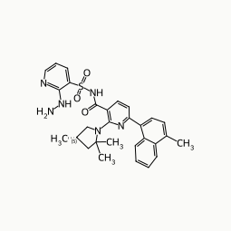 Cc1ccc(-c2ccc(C(=O)NS(=O)(=O)c3cccnc3NN)c(N3C[C@@H](C)CC3(C)C)n2)c2ccccc12